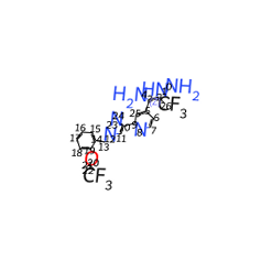 NN/C(=C(\N)c1ccnc(-c2cn(Cc3ccccc3OCC(F)(F)F)cn2)c1)C(F)(F)F